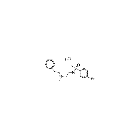 CN(CCN=S(C)(=O)c1ccc(Br)cc1)CCc1ccccc1.Cl